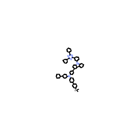 C[Si](C)(C)c1ccc(-c2ccc(N(c3ccc(-c4ccccc4)cc3)c3ccc(-c4ccc5c(c4)c4ccccc4n5-c4cccc(-c5nc(-c6ccccc6)nc(-c6ccccc6)n5)c4)cc3)cc2)cc1